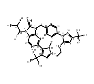 CCOc1cc(C(F)(F)F)nn1-c1ccc(Cn2c(=N)n(C(F)C(F)F)c3cnc(-c4c(C(F)(F)F)cnn4C)nc32)cc1